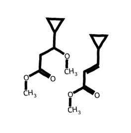 COC(=O)C=CC1CC1.COC(=O)CC(OC)C1CC1